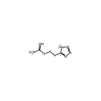 N=C(N)SCCc1ncc[nH]1